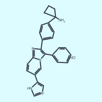 Cl.NC1(c2ccc(-c3nc4ccc(-c5cnc[nH]5)cn4c3-c3ccccc3)cc2)CCC1